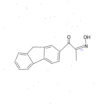 C/C(=N/O)C(=O)c1ccc2c(c1)Cc1ccccc1-2